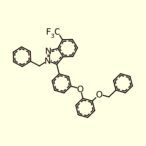 FC(F)(F)c1cccc2c(-c3cccc(Oc4ccccc4OCc4ccccc4)c3)n(Cc3ccccc3)nc12